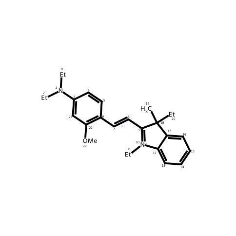 CCN(CC)c1ccc(/C=C/C2=[N+](CC)c3ccccc3C2(C)CC)c(OC)c1